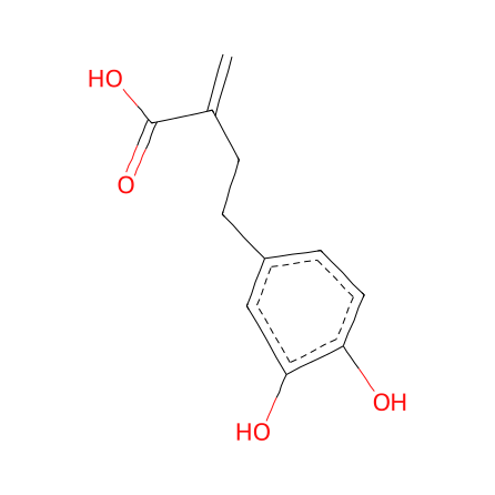 C=C(CCc1ccc(O)c(O)c1)C(=O)O